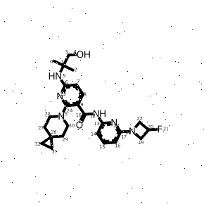 CC(C)(CO)Nc1ccc(C(=O)Nc2cccc(N3CC(F)C3)n2)c(N2CCC3(CC2)CC3)n1